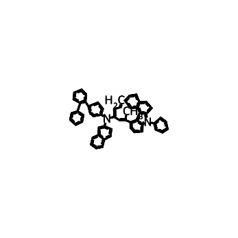 C=C/C=C(\C=C(/C)c1cccc2c1c1c3ccccc3ccc1n2-c1ccccc1)N(c1ccc(-c2ccccc2-c2ccccc2)cc1)c1ccc2ccccc2c1